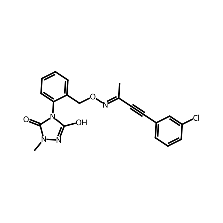 C/C(C#Cc1cccc(Cl)c1)=N\OCc1ccccc1-n1c(O)nn(C)c1=O